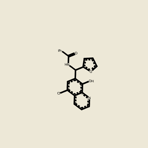 CC(C)C(=O)NC(c1ccco1)c1cc(Cl)c2cccnc2c1O